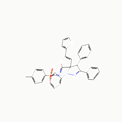 Cc1ccc(S(=O)(=O)/N=C2\OC(c3cccs3)=CC23C(c2ccccc2)C(c2ccccc2)=NN3c2ccccc2)cc1